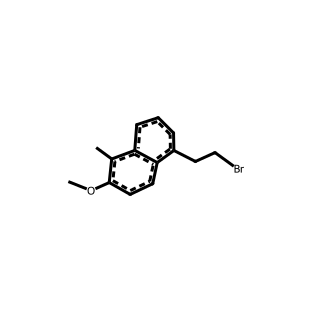 COc1ccc2c(CCBr)cccc2c1C